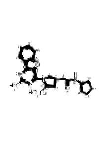 Cc1nc(N2C[C@@H](CC(=O)NC3CCCC3)C[C@H]2C(=O)O)c2oc3ccccc3c2n1